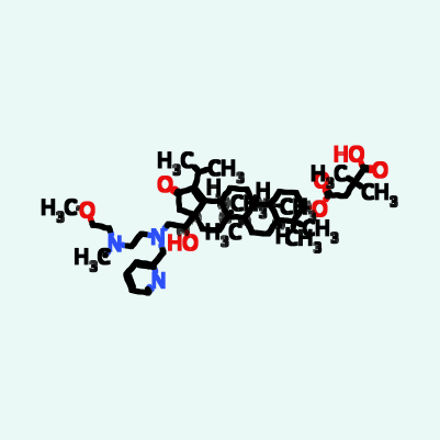 COCCN(C)CCN(Cc1ccccn1)C[C@H](O)[C@@]12CC[C@]3(C)[C@H](CC[C@@H]4[C@@]5(C)CC[C@H](OC(=O)CC(C)(C)C(=O)O)C(C)(C)[C@@H]5CC[C@]43C)C1=C(C(C)C)C(=O)C2